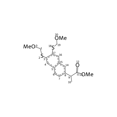 COCSc1cc2ccc(C(C)C(=O)OC)cc2cc1SCOC